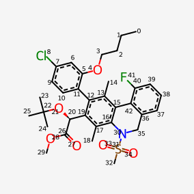 CCCCOc1cc(Cl)ccc1-c1c(C)c2c(c(C)c1[C@H](OC(C)(C)C)C(=O)OC)N(S(C)(=O)=O)Cc1cccc(F)c1-2